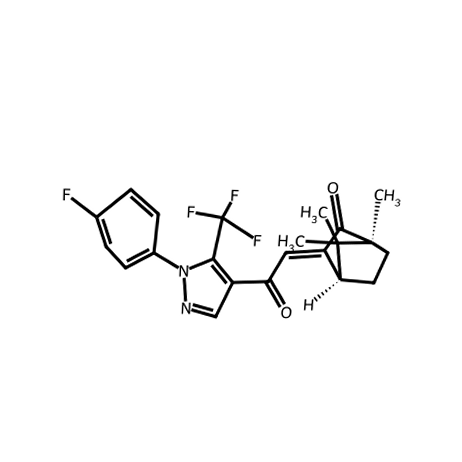 CC1(C)[C@H]2CC[C@]1(C)C(=O)/C2=C/C(=O)c1cnn(-c2ccc(F)cc2)c1C(F)(F)F